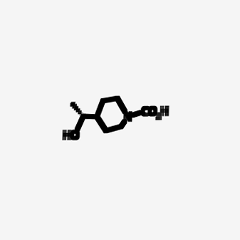 C[C@@H](O)C1CCN(C(=O)O)CC1